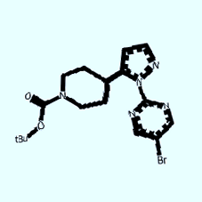 CC(C)(C)OC(=O)N1CCC(c2ccnn2-c2ncc(Br)cn2)CC1